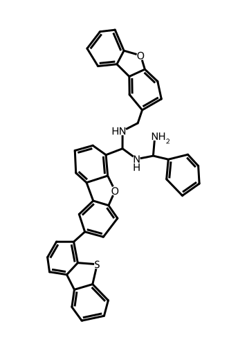 NC(NC(NCc1ccc2oc3ccccc3c2c1)c1cccc2c1oc1ccc(-c3cccc4c3sc3ccccc34)cc12)c1ccccc1